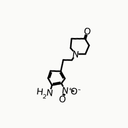 Nc1ccc(CCN2CCC(=O)CC2)cc1[N+](=O)[O-]